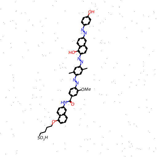 COc1cc(C(=O)Nc2ccc3c(OCCCCS(=O)(=O)O)cccc3c2)ccc1N=Nc1cc(C)c(N=Nc2ccc3cc(/N=N/c4ccc(O)cc4)ccc3c2O)cc1C